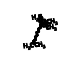 C=C(C)CCCCCCCCC[Si](OCC)(OCC)OCC